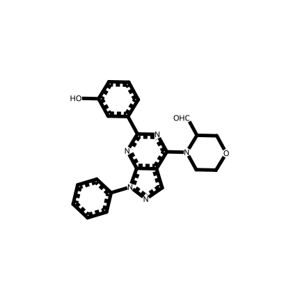 O=CC1COCCN1c1nc(-c2cccc(O)c2)nc2c1cnn2-c1ccccc1